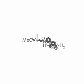 COCCNCC=CC(=O)Nc1cccc(-c2ccc(C(N)=O)c3[nH]ccc23)c1C